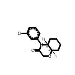 O=C1CO[C@@H]2CCCC[C@H]2N1c1cccc(Cl)c1